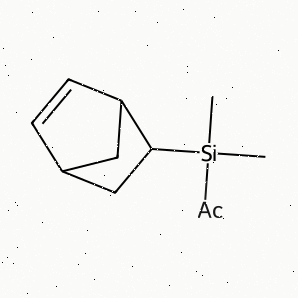 CC(=O)[Si](C)(C)C1CC2C=CC1C2